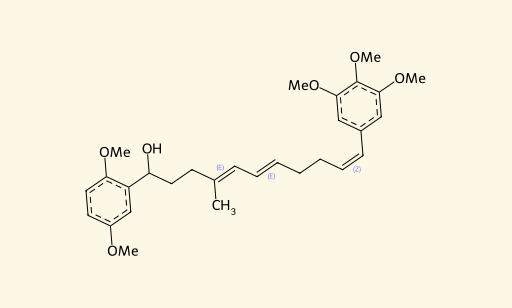 COc1ccc(OC)c(C(O)CC/C(C)=C/C=C/CC/C=C\c2cc(OC)c(OC)c(OC)c2)c1